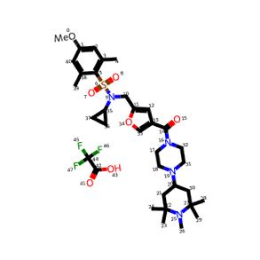 COc1cc(C)c(S(=O)(=O)N(Cc2cc(C(=O)N3CCN(C4CC(C)(C)N(C)C(C)(C)C4)CC3)co2)C2CC2)c(C)c1.O=C(O)C(F)(F)F